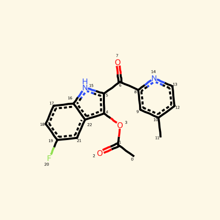 CC(=O)Oc1c(C(=O)c2cc(C)ccn2)[nH]c2ccc(F)cc12